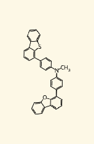 CN(c1ccc(-c2cccc3c2oc2ccccc23)cc1)c1ccc(-c2cccc3c2sc2ccccc23)cc1